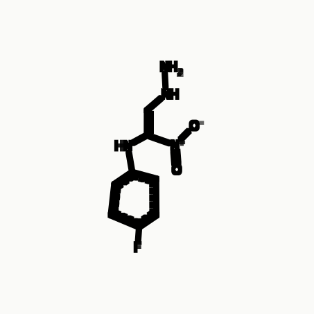 NNC=C(Nc1ccc(F)cc1)[N+](=O)[O-]